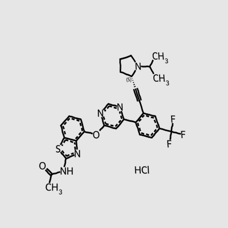 CC(=O)Nc1nc2c(Oc3cc(-c4ccc(C(F)(F)F)cc4C#C[C@@H]4CCCN4C(C)C)ncn3)cccc2s1.Cl